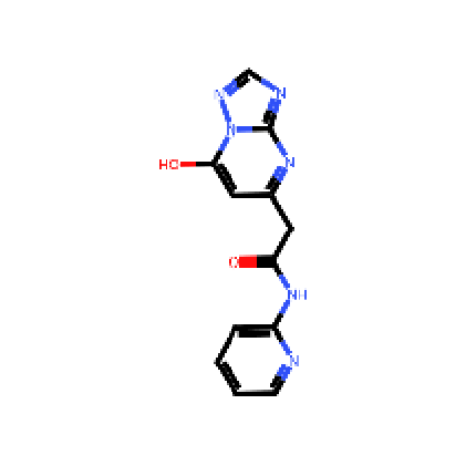 O=C(Cc1cc(O)n2ncnc2n1)Nc1ccccn1